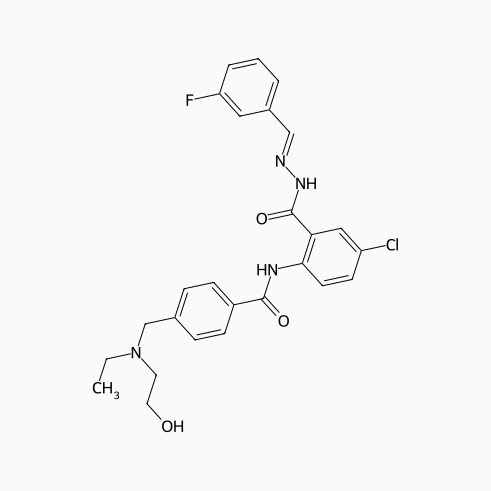 CCN(CCO)Cc1ccc(C(=O)Nc2ccc(Cl)cc2C(=O)NN=Cc2cccc(F)c2)cc1